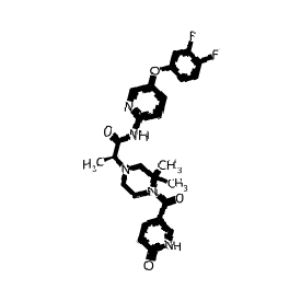 C[C@@H](C(=O)Nc1ccc(Oc2ccc(F)c(F)c2)cn1)N1CCN(C(=O)c2ccc(=O)[nH]c2)C(C)(C)C1